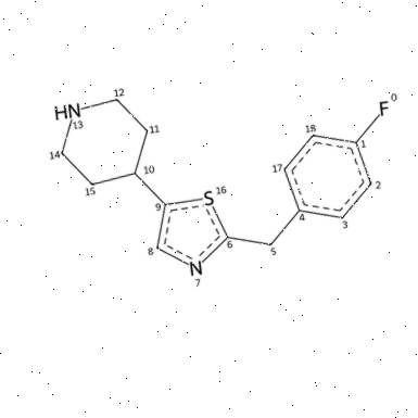 Fc1ccc(Cc2ncc(C3CCNCC3)s2)cc1